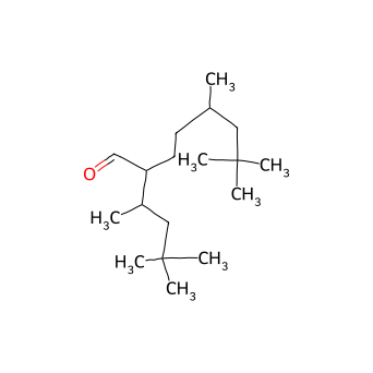 CC(CCC(C=O)C(C)CC(C)(C)C)CC(C)(C)C